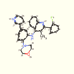 Cc1c(-c2ccccc2F)nc2ccccc2c1Nc1cc(-c2cccnc2)ccc1N1CCOCC1